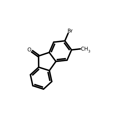 Cc1cc2c(cc1Br)C(=O)c1ccccc1-2